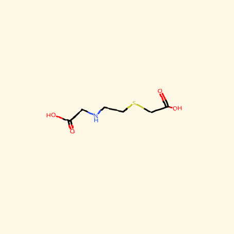 O=C(O)CNCCSCC(=O)O